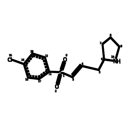 O=S(=O)(C=CCC1CCCN1)c1ccc(Cl)cc1